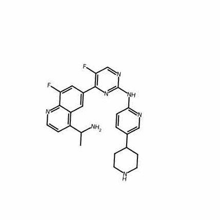 CC(N)c1ccnc2c(F)cc(-c3nc(Nc4ccc(C5CCNCC5)cn4)ncc3F)cc12